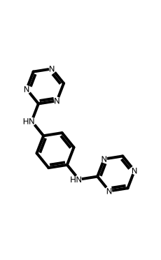 c1ncnc(Nc2ccc(Nc3ncncn3)cc2)n1